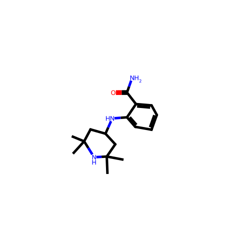 CC1(C)CC(Nc2ccccc2C(N)=O)CC(C)(C)N1